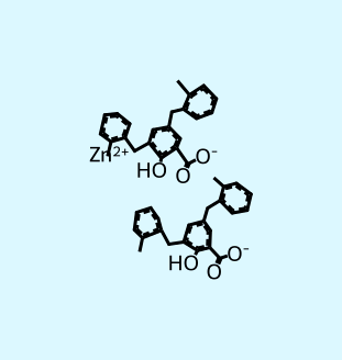 Cc1ccccc1Cc1cc(Cc2ccccc2C)c(O)c(C(=O)[O-])c1.Cc1ccccc1Cc1cc(Cc2ccccc2C)c(O)c(C(=O)[O-])c1.[Zn+2]